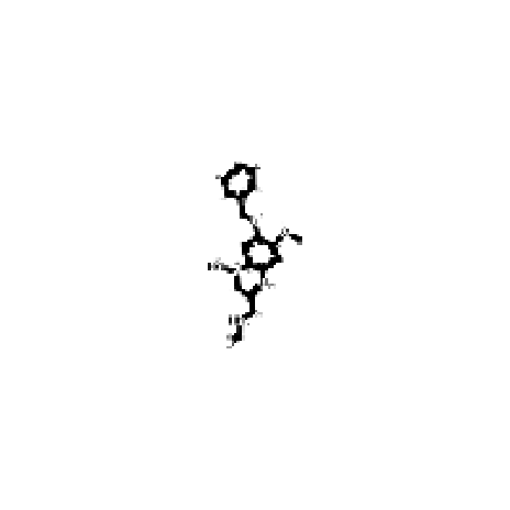 COc1cc2c(cc1OCc1ccccc1)N(O)CC(CNC=O)=N2